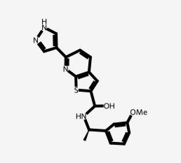 COc1cccc([C@@H](C)NC(O)c2cc3ccc(-c4cn[nH]c4)nc3s2)c1